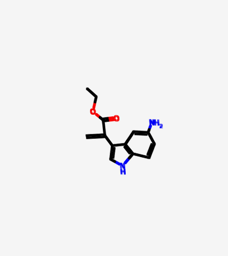 C=C(C(=O)OCC)c1c[nH]c2ccc(N)cc12